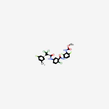 CC(C)(C)OC(=O)Nc1c(F)ccc(NC(=O)c2cc(NC(=O)[C@H]3[C@H](c4cc(F)cc(C(F)(F)F)c4)C3(Cl)Cl)ccc2Cl)c1F